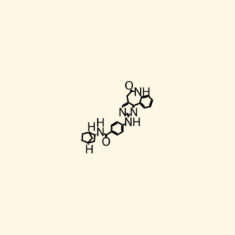 O=C1Cc2cnc(Nc3ccc(C(=O)N[C@@H]4C[C@@H]5CC[C@@H]4C5)cc3)nc2-c2ccccc2N1